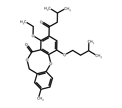 CCOc1c(C(=O)CC(C)C)cc(OCCC(C)C)c2c1C(=O)OCc1cc(C)ccc1O2